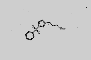 CNCCCc1ccn(S(=O)(=O)c2ccccc2)c1